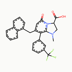 CN1CC(C(=O)O)n2c1c(-c1cccc(C(F)(F)F)c1)c(Cc1cccc3ccccc13)cc2=O